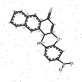 CCN(CC)c1ccc2c(c1)OC1=CC(=O)c3cc4ccccc4cc3C1N2